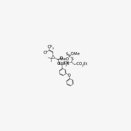 CC1(C)[C@H](C(=O)OC(C#N)c2cccc(Oc3ccccc3)c2)[C@@H]1/C=C(\Cl)C(F)(F)F.CCOC(=O)CC(SP(=S)(OC)OC)C(=O)OCC